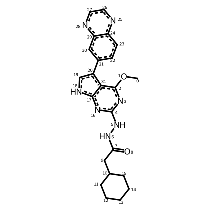 COc1nc(NNC(=O)CC2CCCCC2)nc2[nH]cc(-c3ccc4nccnc4c3)c12